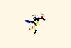 CC[S+]([O-])c1sc(C(C)=O)c(N)c1C#N